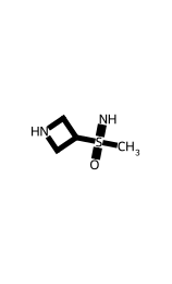 CS(=N)(=O)C1CNC1